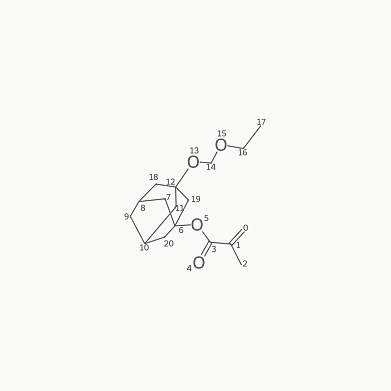 C=C(C)C(=O)OC12CC3CC(CC(OCOCC)(C3)C1)C2